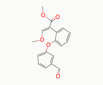 CO/C=C(/C(=O)OC)c1ccccc1Oc1cccc(C=O)c1